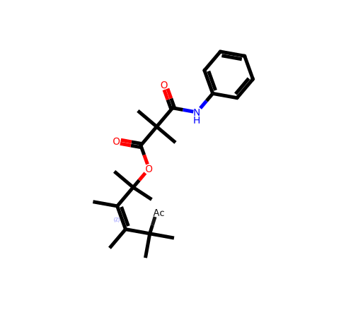 CC(=O)C(C)(C)/C(C)=C(/C)C(C)(C)OC(=O)C(C)(C)C(=O)Nc1ccccc1